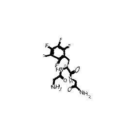 NCC(=O)N[C@@H](Cc1c(F)c(F)c(F)c(F)c1F)C(=O)NCC(N)=O